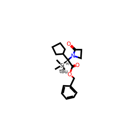 CC(C)(C)[Si](C)(C)[C@@](C(=O)OCc1ccccc1)(C1CCCC1)N1CCC1=O